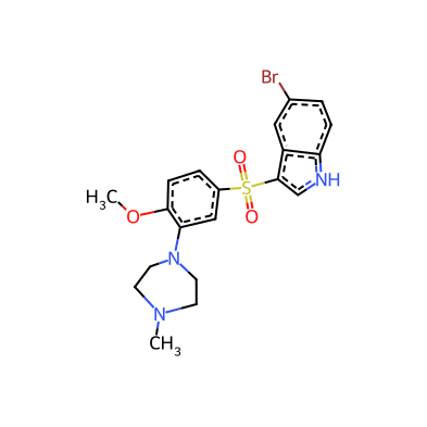 COc1ccc(S(=O)(=O)c2c[nH]c3ccc(Br)cc23)cc1N1CCN(C)CC1